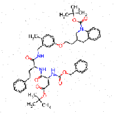 Cc1ccc(OCCC2Cc3ccccc3N(C(=O)OC(C)(C)C)C2)cc1CNC(=O)[C@H](CCc1ccccc1)NC(=O)[C@H](CC(=O)OC(C)(C)C)NC(=O)OCc1ccccc1